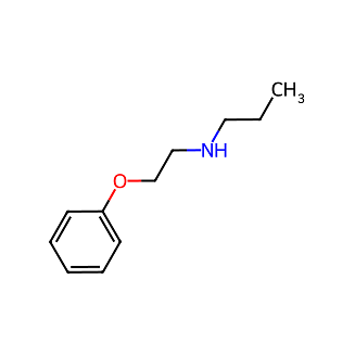 CCCNCCOc1ccccc1